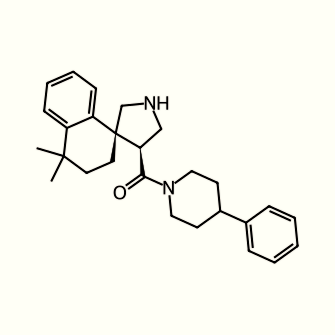 CC1(C)CC[C@]2(CNC[C@H]2C(=O)N2CCC(c3ccccc3)CC2)c2ccccc21